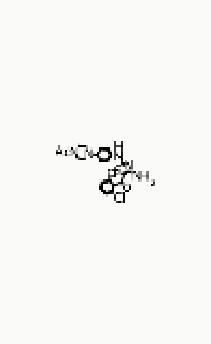 CC(=O)N1CCN(c2ccc(Nc3nc(N)c(C(=O)c4c(Cl)cccc4Cl)s3)cc2)CC1